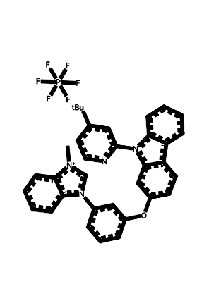 C[n+]1cn(-c2cccc(Oc3ccc4c5ccccc5n(-c5cc(C(C)(C)C)ccn5)c4c3)c2)c2ccccc21.F[P-](F)(F)(F)(F)F